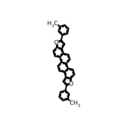 Cc1cccc(-c2cc3c(ccc4c3ccc3c5ccc6oc(-c7cccc(C)c7)cc6c5ccc43)o2)c1